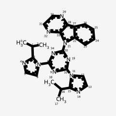 CC(C)c1nccn1-c1nc(-n2ccnc2C(C)C)nc(-n2c3ccccc3c3nccnc32)n1